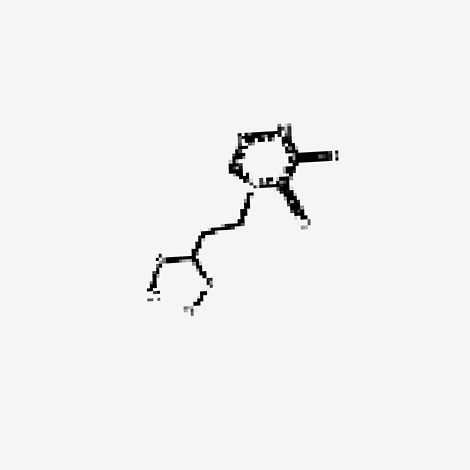 CCSC(CCn1[c]n[nH]c(=O)c1=O)SCC